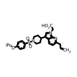 C=CCc1ccc2c(C3CCN(S(=O)(=O)c4ccc(OC(C)C)cc4)CC3)cn(CC(=O)O)c2n1